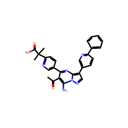 CC(=O)c1c(-c2ccc(C(C)(C)C(=O)O)nc2)nc2c(-c3ccc(-c4ccccc4)nc3)cnn2c1N